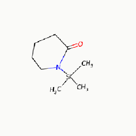 C[Si](C)(C)N1CCCCC1=O